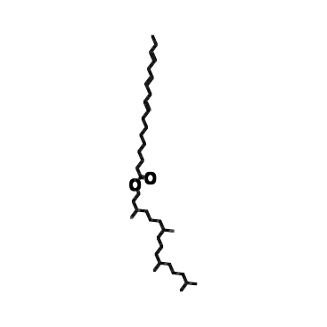 CCC=CCC=CCC=CCCCCCCCC(=O)OCCC(C)CCCC(C)CCCC(C)CCCC(C)C